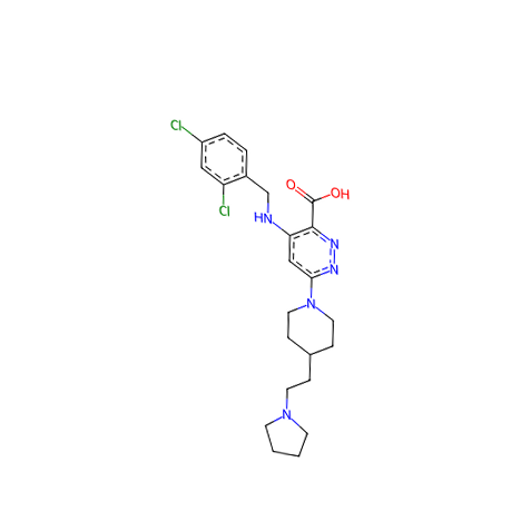 O=C(O)c1nnc(N2CCC(CCN3CCCC3)CC2)cc1NCc1ccc(Cl)cc1Cl